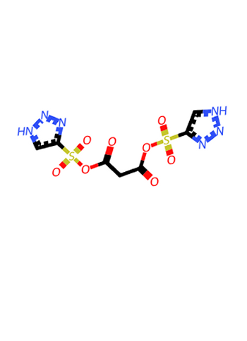 O=C(CC(=O)OS(=O)(=O)c1c[nH]nn1)OS(=O)(=O)c1c[nH]nn1